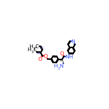 C/C=C\C(=C/C)C(=O)OCc1ccc([C@@H](CN)C(=O)Nc2ccc3cnccc3c2)cc1